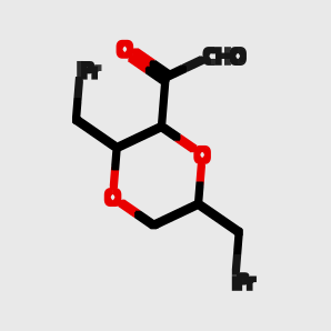 CC(C)CC1COC(CC(C)C)C(C(=O)C=O)O1